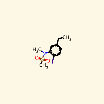 CCc1ccc(I)c(N(C)S(C)(=O)=O)c1